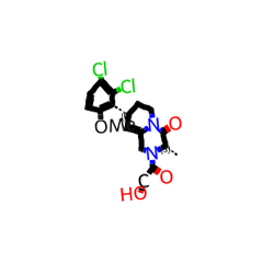 COc1ccc(Cl)c(Cl)c1[C@H]1C=C2CN(C(=O)CO)[C@@H](C)C(=O)N2CC1